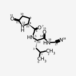 CC(C)C[C@H](NC(=O)[C@@H]1CCC(=O)N1)C(=O)NC#N